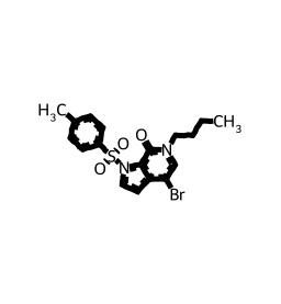 CCCCn1cc(Br)c2ccn(S(=O)(=O)c3ccc(C)cc3)c2c1=O